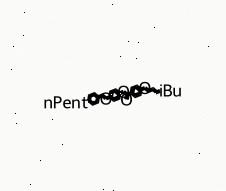 CCCCCC1CCC(COc2ccc(OC(=O)c3ccc(OCCCC(C)CC)cc3)cc2)CC1